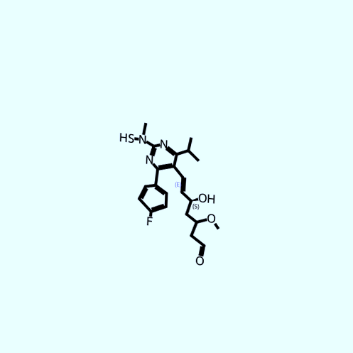 COC(CC=O)C[C@H](O)/C=C/c1c(-c2ccc(F)cc2)nc(N(C)S)nc1C(C)C